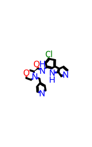 O=C(Nc1cc(Cl)cc2c1[nH]c1cnccc12)[C@@H]1COCCN1Cc1ccncc1